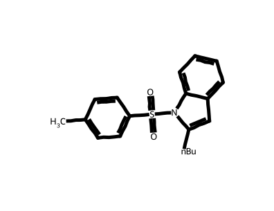 CCCCc1cc2ccccc2n1S(=O)(=O)c1ccc(C)cc1